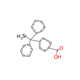 O=C(O)c1ccc(C([SiH3])(c2ccccc2)c2ccccc2)cc1